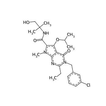 CCc1nc2c(c(OC(C)C)c(C(=O)NC(C)(C)CO)n2C)c(=O)n1Cc1cccc(Cl)c1